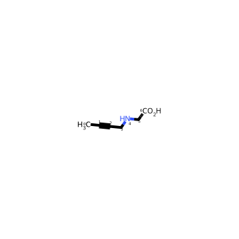 CC#CCNCC(=O)O